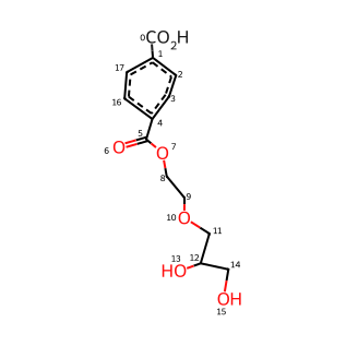 O=C(O)c1ccc(C(=O)OCCOCC(O)CO)cc1